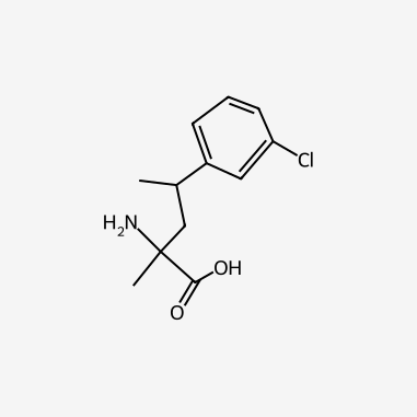 CC(CC(C)(N)C(=O)O)c1cccc(Cl)c1